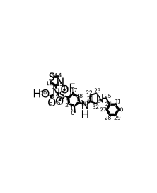 Cc1cc(S(=O)(=O)N(C(=O)O)c2cscn2)c(F)cc1NC1CCN(Cc2ccccc2)C1